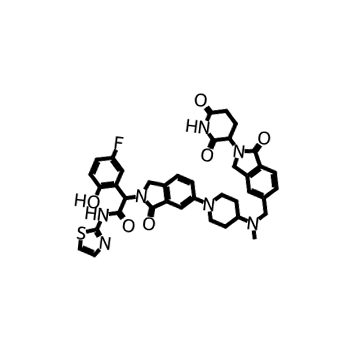 CN(Cc1ccc2c(c1)CN(C1CCC(=O)NC1=O)C2=O)C1CCN(c2ccc3c(c2)C(=O)N(C(C(=O)Nc2nccs2)c2cc(F)ccc2O)C3)CC1